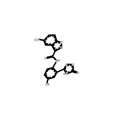 N#Cc1ccc(NC(=O)c2noc3ccc([N+](=O)[O-])cc23)c(-c2noc(=O)[nH]2)c1